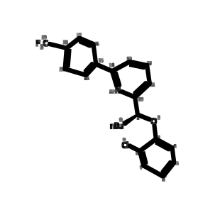 CCCC[C@H](Oc1cc[c]cc1Cl)c1cccc(-c2ccc(C(F)(F)F)cc2)n1